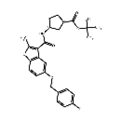 Cc1oc2ccc(OCc3ccc(F)cc3)cc2c1C(=O)N[C@H]1CCN(C(=O)OC(C)(C)C)C1